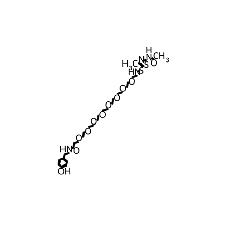 CC(=O)Nc1nc(C)c(SNCCOCCOCCOCCOCCOCCOCCOCCOCCC(=O)NCCc2ccc(O)cc2)s1